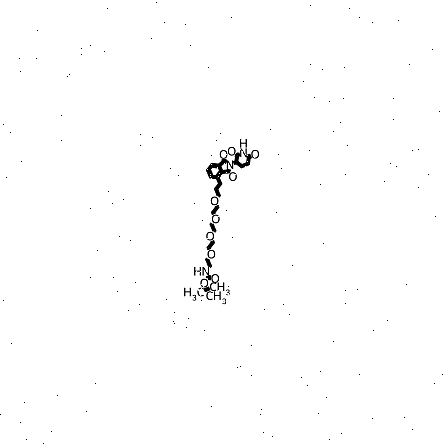 CC(C)(C)OC(=O)NCCOCCOCCOCCOCCCc1cccc2c1C(=O)N(C1CCC(=O)NC1=O)C2=O